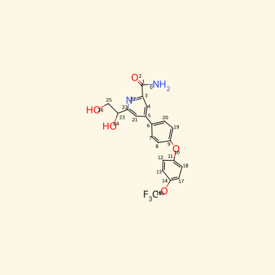 NC(=O)c1cc(-c2ccc(Oc3ccc(OC(F)(F)F)cc3)cc2)cc(C(O)CO)n1